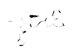 CCC(CC)n1c(Cc2ccco2)nc2cc(C(=O)NC(CC(=O)O)c3ccccc3)ccc21